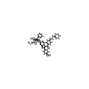 NOC(N)=O.O=C(O)c1ccccc1.O=C(c1ccc(OCCN2CCCCC2)cc1)c1c(-c2ccc(O)cc2)sc2cc(O)ccc12